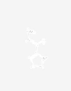 CCC(=NOC)c1cs[c]n1